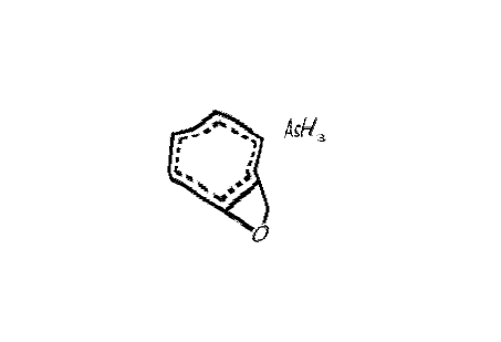 [AsH3].c1ccc2c(c1)O2